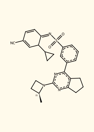 C[C@H]1CCN1c1nc2c(c(-c3cccc(S(=O)(=O)N=C4C=CC(C#N)=CC4C4CC4)c3)n1)CCC2